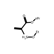 CCO[SiH3].[CH2]CCOC(=O)C(=C)C